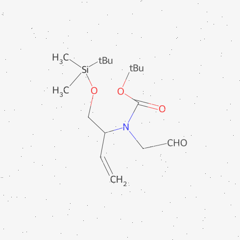 C=CC(CO[Si](C)(C)C(C)(C)C)N(CC=O)C(=O)OC(C)(C)C